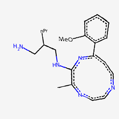 CCCC(CN)CNc1nc(-c2ccccc2OC)ccnccnc1C